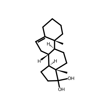 C[C@]12CCCCC1=CC[C@@H]1[C@@H]2CC[C@@]2(C)[C@H]1CCC2(O)O